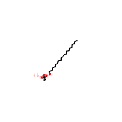 CCCCCCCCCCCCCCCCCCCCCC(=O)OCC(CC)(CO)CO